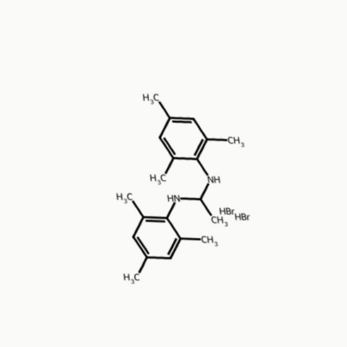 Br.Br.Cc1cc(C)c(NC(C)Nc2c(C)cc(C)cc2C)c(C)c1